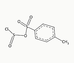 Cc1ccc(S(=O)(=O)OS(=O)Cl)cc1